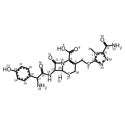 Cn1c(SCC2=C(C(=O)O)N3C(=O)C(NC(=O)C(N)c4ccc(O)cc4)[C@@H]3SC2)nnc1C(N)=O